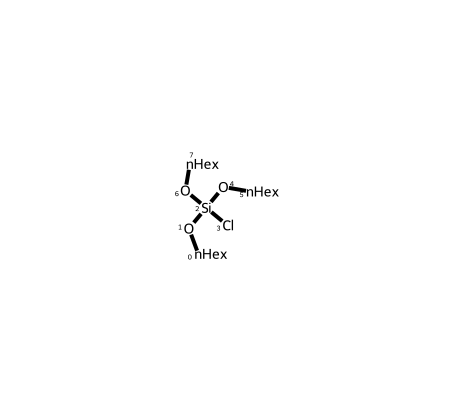 CCCCCCO[Si](Cl)(OCCCCCC)OCCCCCC